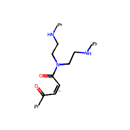 CC(C)NCCN(CCNC(C)C)C(=O)/C=C\C(=O)C(C)C